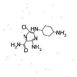 NC(=O)c1nc(Cl)c(NC2CCC(N)CC2)nc1N